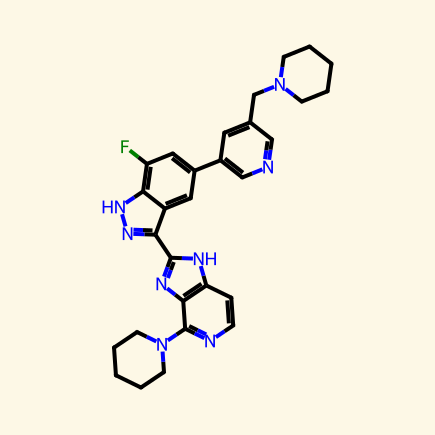 Fc1cc(-c2cncc(CN3CCCCC3)c2)cc2c(-c3nc4c(N5CCCCC5)nccc4[nH]3)n[nH]c12